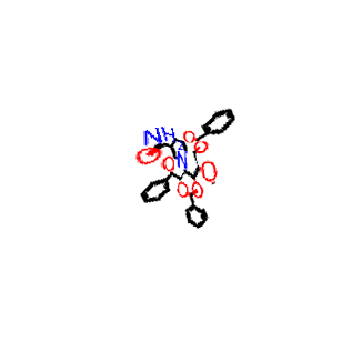 CO[C@H](COC(=O)c1ccccc1)[C@@H](OC(=O)c1ccccc1)[C@@H](CC(=O)c1ccccc1)N1C=CCC(C(N)=O)=C1